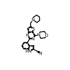 N#Cc1cc2c(-c3nc(N4CCOCC4)c4sc(CN5CCCCC5)cc4n3)cccc2[nH]1